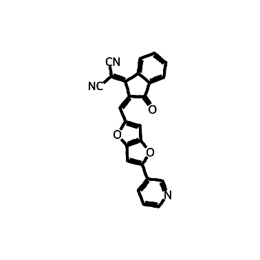 N#CC(C#N)=C1/C(=C/c2cc3oc(-c4cccnc4)cc3o2)C(=O)c2ccccc21